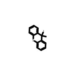 CC1(I)c2ccccc2Sc2ccccc21